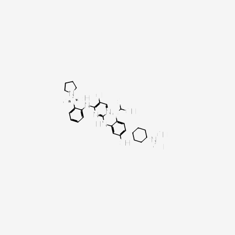 Cc1cc(Nc2ncc(Cl)c(Nc3ccccc3S(=O)(=O)N3CCCC3)n2)c(OC(C)C)cc1[C@H]1CC[C@@H](N(C)C)CC1